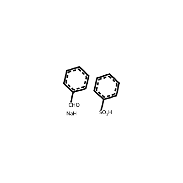 O=Cc1ccccc1.O=S(=O)(O)c1ccccc1.[NaH]